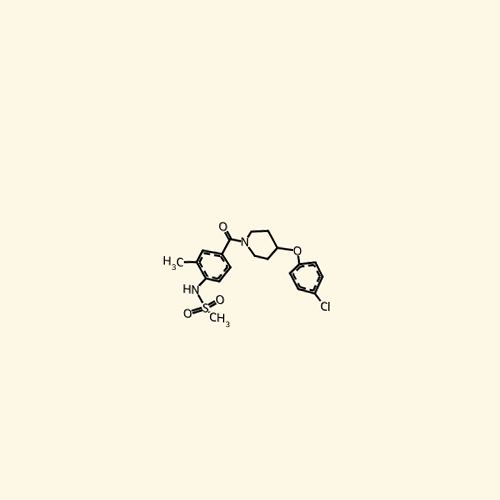 Cc1cc(C(=O)N2CCC(Oc3ccc(Cl)cc3)CC2)ccc1NS(C)(=O)=O